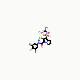 C[C@@H](NS(=O)(=O)c1c(Cl)c(C(=O)Nc2cc(F)c(F)c(F)c2)n2c1C=CC2)C(F)(F)F